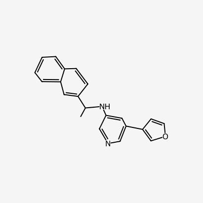 CC(Nc1cncc(-c2ccoc2)c1)c1ccc2ccccc2c1